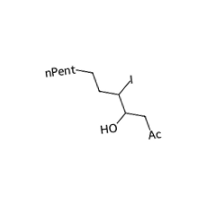 CCCCCCCC(I)C(O)CC(C)=O